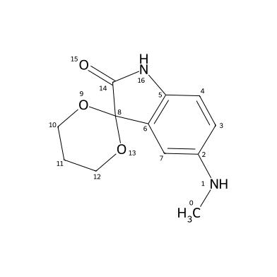 CNc1ccc2c(c1)C1(OCCCO1)C(=O)N2